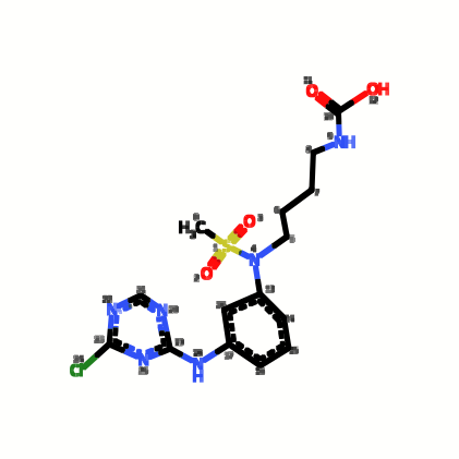 CS(=O)(=O)N(CCCCNC(=O)O)c1cccc(Nc2ncnc(Cl)n2)c1